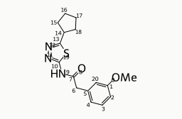 COc1cccc(CC(=O)Nc2nnc(C3CCCC3)s2)c1